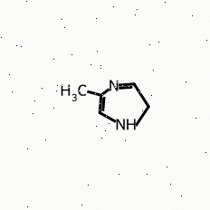 CC1=CNCCC=N1